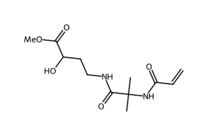 C=CC(=O)NC(C)(C)C(=O)NCCC(O)C(=O)OC